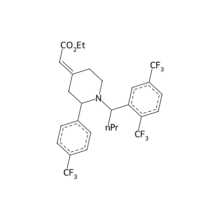 CCCC(c1cc(C(F)(F)F)ccc1C(F)(F)F)N1CCC(=CC(=O)OCC)CC1c1ccc(C(F)(F)F)cc1